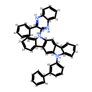 c1ccc(-c2cccc(-n3c4ccccc4c4cc5c(cc43)c3ccccc3n5-c3nc4ccccc4nc3-c3ccccc3)c2)cc1